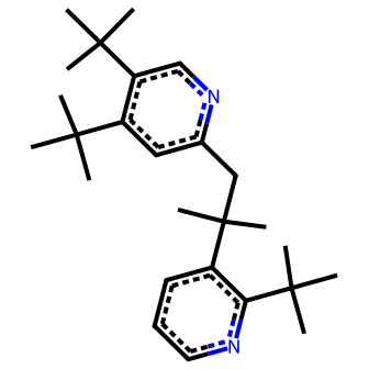 CC(C)(C)c1cnc(CC(C)(C)c2cccnc2C(C)(C)C)cc1C(C)(C)C